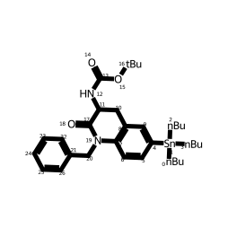 CCC[CH2][Sn]([CH2]CCC)([CH2]CCC)[c]1ccc2c(c1)CC(NC(=O)OC(C)(C)C)C(=O)N2Cc1ccccc1